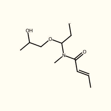 [CH2]CC(OCC(C)O)N(C)C(=O)C=CC